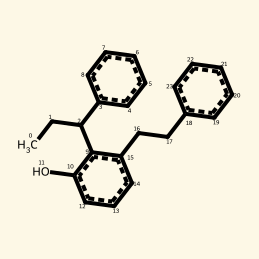 CCC(c1ccccc1)c1c(O)cccc1CCc1ccccc1